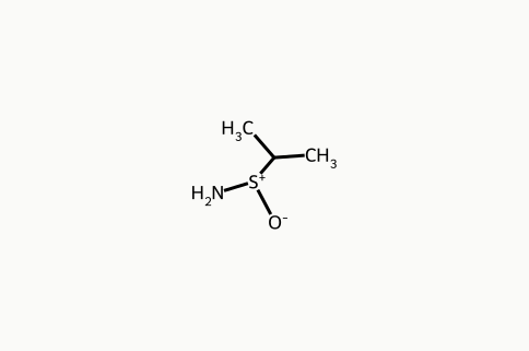 CC(C)[S+](N)[O-]